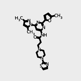 Cc1cc(C)n(-c2cc(NC(=O)CCN3CCN(c4nccs4)CC3)nc(-c3ccc(C)o3)n2)n1